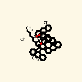 CCCCCCC1=Cc2c(-c3c4ccccc4cc4ccccc34)ccc(-c3c4ccccc4cc4ccccc34)c2[CH]1[Zr]([CH3])([CH3])(=[SiH2])[CH]1C(CCCCCC)=Cc2c(-c3c4ccccc4cc4ccccc34)ccc(-c3c4ccccc4cc4ccccc34)c21.[Cl-].[Cl-]